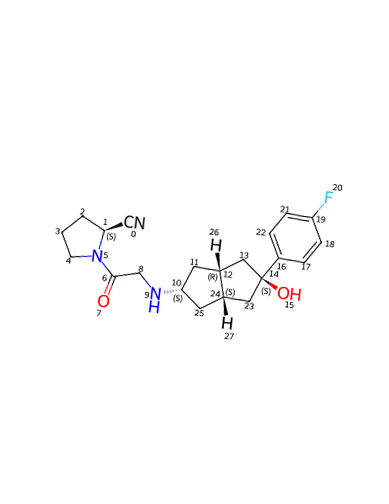 N#C[C@@H]1CCCN1C(=O)CN[C@@H]1C[C@@H]2C[C@](O)(c3ccc(F)cc3)C[C@@H]2C1